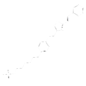 CS(=O)(=O)OCCCCCCc1ccc(OCc2coc(/C=C/c3ccccc3)n2)cc1